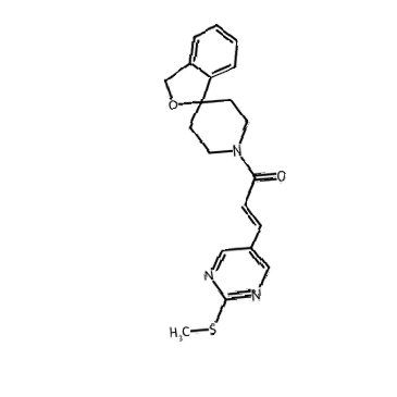 CSc1ncc(/C=C/C(=O)N2CCC3(CC2)OCc2ccccc23)cn1